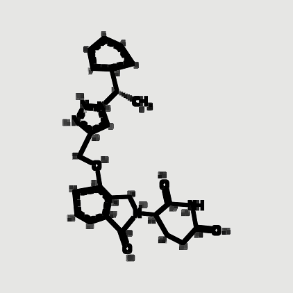 C[C@@H](c1ccccc1)n1cc(COc2cccc3c2CN(C2CCC(=O)NC2=O)C3=O)nn1